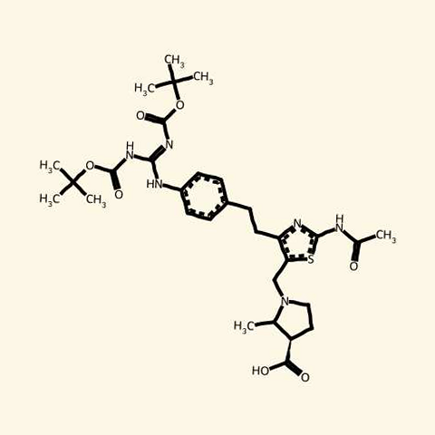 CC(=O)Nc1nc(CCc2ccc(NC(=NC(=O)OC(C)(C)C)NC(=O)OC(C)(C)C)cc2)c(CN2CC[C@@H](C(=O)O)C2C)s1